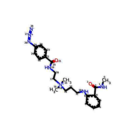 CNC(=O)c1ccccc1NCCC[N+](C)(C)CCNC(=O)c1ccc(N=[N+]=[N-])cc1